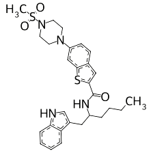 CCCCC(Cc1c[nH]c2ccccc12)NC(=O)c1cc2ccc(N3CCN(S(C)(=O)=O)CC3)cc2s1